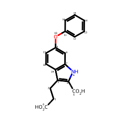 O=C(O)CCc1c(C(=O)O)[nH]c2cc(Oc3ccccc3)ccc12